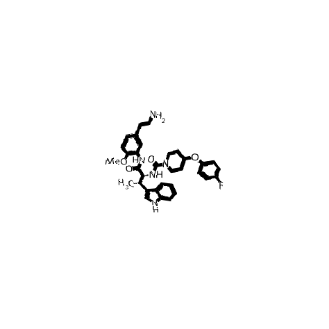 COc1ccc(CCN)cc1NC(=O)[C@H](NC(=O)N1CCC(Oc2ccc(F)cc2)CC1)[C@@H](C)c1c[nH]c2ccccc12